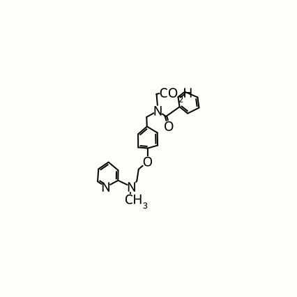 CN(CCOc1ccc(CN(CC(=O)O)C(=O)c2ccccc2)cc1)c1ccccn1